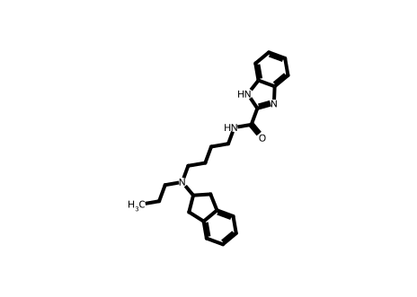 CCCN(CCCCNC(=O)c1nc2ccccc2[nH]1)C1Cc2ccccc2C1